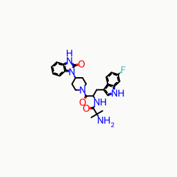 CC(C)(N)C(=O)NC(Cc1c[nH]c2cc(F)ccc12)C(=O)N1CCC(n2c(=O)[nH]c3ccccc32)CC1